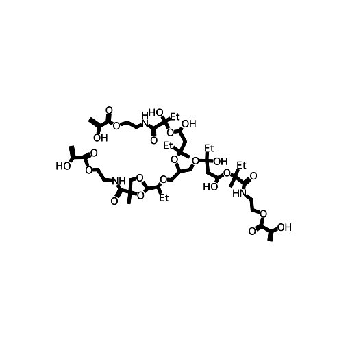 C=C(O)C(=O)OCCNC(=O)C(C)(CC)OC(O)CC(O)(CC)OCC(COC(CC)C1OCC(C)(C(=O)NCCOC(=O)C(=C)O)O1)OC(C)(CC)CC(O)OC(O)(CC)C(=O)NCCOC(=O)C(=C)O